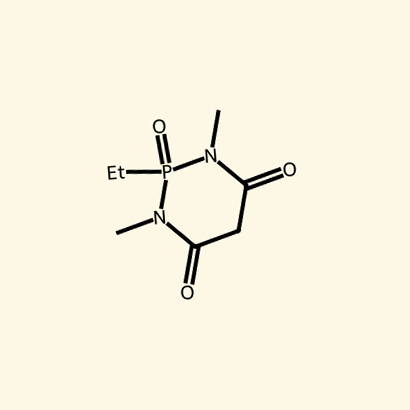 CCP1(=O)N(C)C(=O)CC(=O)N1C